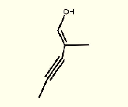 CC#CC(C)=CO